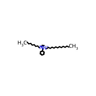 CCCCCCCCCCCCCC[n+]1ccn(CCCCCCCCC)c1-c1ccccc1